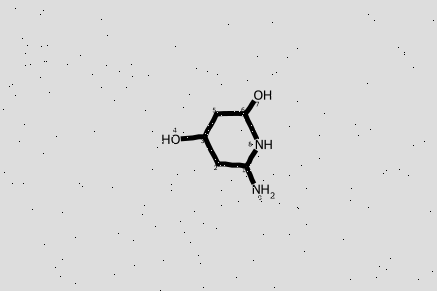 NC1CC(O)CC(O)N1